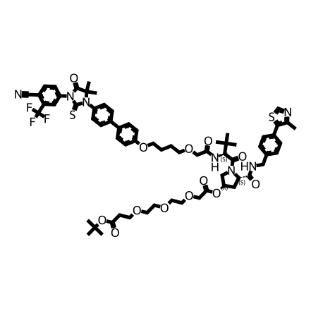 Cc1ncsc1-c1ccc(CNC(=O)[C@@H]2C[C@@H](OC(=O)COCCOCCOCCC(=O)OC(C)(C)C)CN2C(=O)[C@@H](NC(=O)COCCCCOc2ccc(-c3ccc(N4C(=S)N(c5ccc(C#N)c(C(F)(F)F)c5)C(=O)C4(C)C)cc3)cc2)C(C)(C)C)cc1